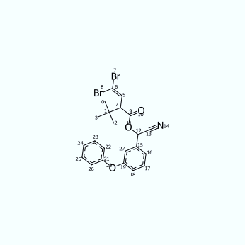 CC(C)(C)C(C=C(Br)Br)C(=O)OC(C#N)c1cccc(Oc2ccccc2)c1